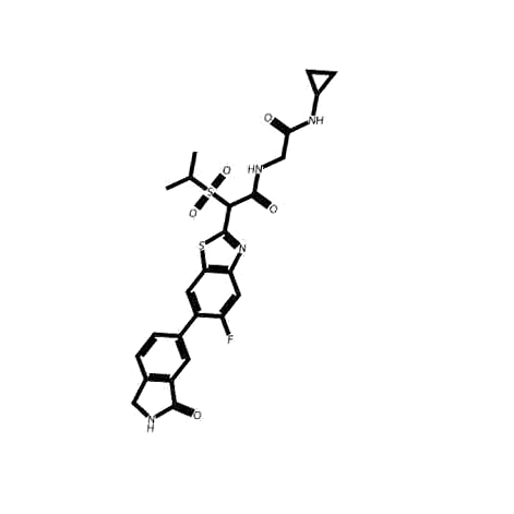 CC(C)S(=O)(=O)C(C(=O)NCC(=O)NC1CC1)c1nc2cc(F)c(-c3ccc4c(c3)C(=O)NC4)cc2s1